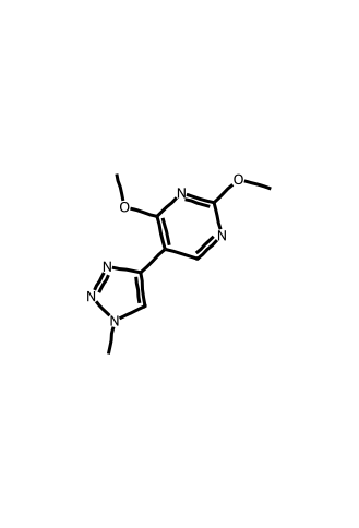 COc1ncc(-c2cn(C)nn2)c(OC)n1